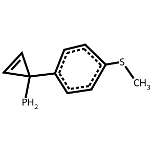 CSc1ccc(C2(P)C=C2)cc1